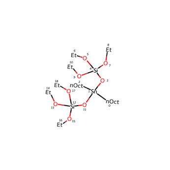 CCCCCCC[CH2][Sn]([CH2]CCCCCCC)([O][Si](OCC)(OCC)OCC)[O][Si](OCC)(OCC)OCC